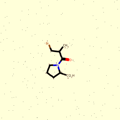 CC(CBr)C(=O)N1CCCC1C(=O)O